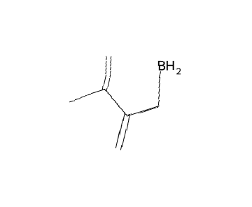 BCC(=C)C(=C)C